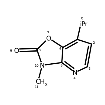 CC(C)c1ccnc2c1oc(=O)n2C